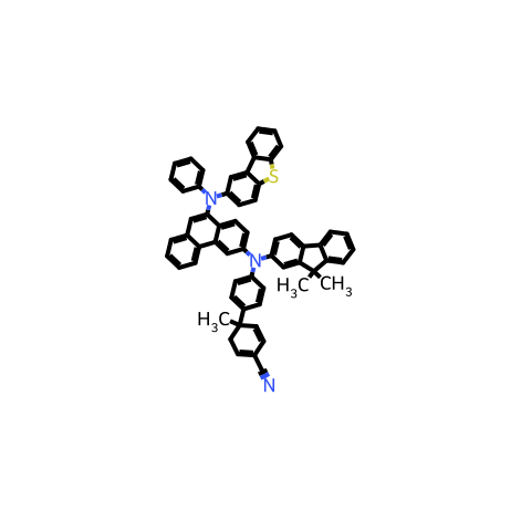 CC1(c2ccc(N(c3ccc4c(c3)C(C)(C)c3ccccc3-4)c3ccc4c(N(c5ccccc5)c5ccc6sc7ccccc7c6c5)cc5ccccc5c4c3)cc2)C=CC(C#N)=CC1